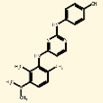 Cc1ccc(N(C)C)c(C)c1Nc1ccnc(Nc2ccc(C#N)cc2)n1